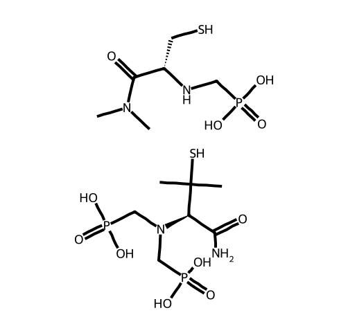 CC(C)(S)[C@@H](C(N)=O)N(CP(=O)(O)O)CP(=O)(O)O.CN(C)C(=O)[C@H](CS)NCP(=O)(O)O